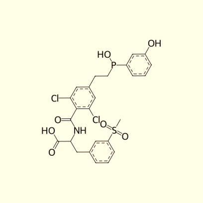 CS(=O)(=O)c1cccc(CC(NC(=O)c2c(Cl)cc(CCP(O)c3cccc(O)c3)cc2Cl)C(=O)O)c1